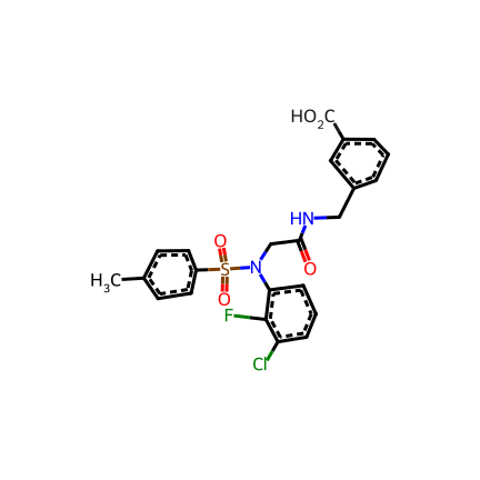 Cc1ccc(S(=O)(=O)N(CC(=O)NCc2cccc(C(=O)O)c2)c2cccc(Cl)c2F)cc1